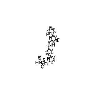 O=C1NC(=O)C(=Cc2ccnc(N3CCC(CNCc4cc(F)cc(-c5ccncc5F)n4)CC3)n2)S1